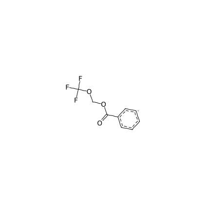 O=C(OCOC(F)(F)F)c1c[c]ccc1